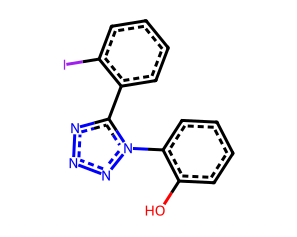 Oc1ccccc1-n1nnnc1-c1ccccc1I